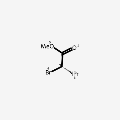 COC(=O)[C@@H](Br)C(C)C